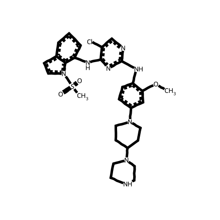 COc1cc(N2CCC(N3CCNCC3)CC2)ccc1Nc1ncc(Cl)c(Nc2cccc3ccn(S(C)(=O)=O)c23)n1